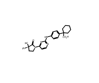 CC(C)[C@]1(C#N)CCN(c2ccnc(Nc3ccc(C4(C(=O)O)CCCCC4)cc3)n2)C1=O